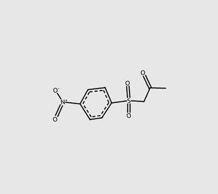 CC(=O)CS(=O)(=O)c1ccc([N+](=O)[O-])cc1